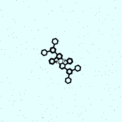 C1=C(c2cc(C3CCCCC3)cc(C3CCCCC3)c2)C2c3ccccc3N3c4ccc(-c5cc(C6CCCCC6)cc(C6CCCCC6)c5)c5c6ccccc6n(c45)C(=C1)C23